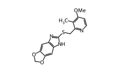 COc1ccnc(CSc2nc3cc4c(cc3[nH]2)OCO4)c1C